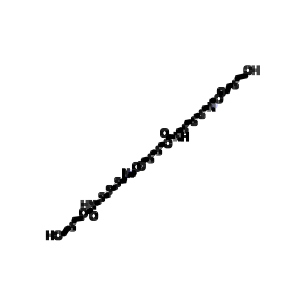 O=C(NCSCSCSC/N=C/OOCSCSCOC(=O)NCSCSCSC/N=C/OOCCSCCO)OCCSCCO